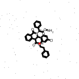 NOC(=O)[C@H](c1ccccc1)N1C(=O)c2ccccc2C(C(=O)NCCc2ccccc2)C1c1ccc(Cl)cc1Cl